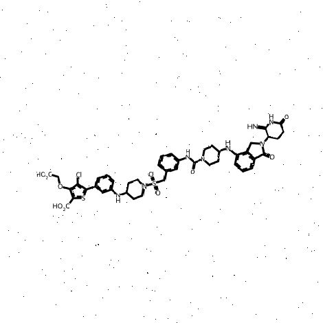 N=C1NC(=O)CCC1N1Cc2c(NC3CCN(C(=O)Nc4cccc(CS(=O)(=O)N5CCC(Nc6cccc(-c7sc(C(=O)O)c(OCC(=O)O)c7Cl)c6)CC5)c4)CC3)cccc2C1=O